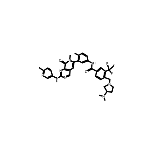 Cc1ccc(Nc2ncc3cc(-c4cc(NC(=O)c5ccc(CN6CCC(N(C)C)C6)c(C(F)(F)F)c5)ccc4C)n(C)c(=O)c3n2)cn1